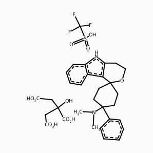 CN(C)C1(c2ccccc2)CCC2(CC1)OCCc1[nH]c3ccccc3c12.O=C(O)CC(O)(CC(=O)O)C(=O)O.O=S(=O)(O)C(F)(F)F